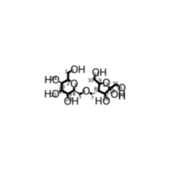 OCC1O[C@@H](COC[C@@H]2C(CO)OC(O)(CO)C2O)C(O)C(O)[C@H]1O